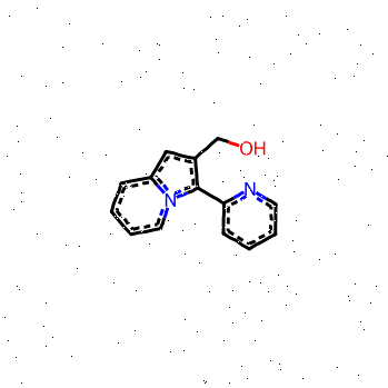 OCc1cc2ccccn2c1-c1ccccn1